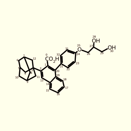 O=C(O)c1c(C23CC4CC(CC(C4)C2)C3)cc2ccccc2c1-c1ccc(OCC(O)CO)cc1